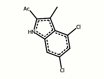 CC(=O)c1[nH]c2cc(Cl)cc(Cl)c2c1C